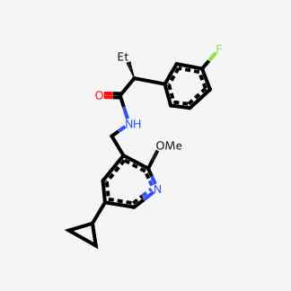 CC[C@H](C(=O)NCc1cc(C2CC2)cnc1OC)c1cccc(F)c1